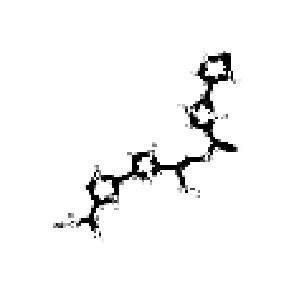 C=C(O/C=C(\N)c1nc(-c2nc(C(=O)OC)co2)co1)c1coc(-c2cocn2)n1